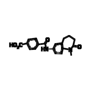 CN1C(=O)CCCc2cc(NC(=O)c3ccc(C(=O)O)cc3)ccc21